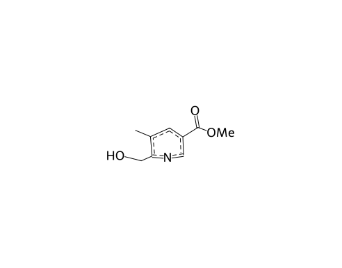 COC(=O)c1cnc(CO)c(C)c1